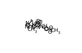 Cc1ncnc(C2CC2)c1-c1ncc2nc(NCc3ccc(S(C)(=O)=O)cc3)c(=O)n(C(C)C)c2n1